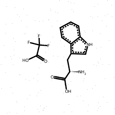 N[C@@H](Cc1c[nH]c2ccccc12)C(=O)O.O=C(O)C(F)(F)F